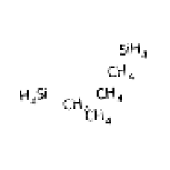 C.C.C.C.[SiH4].[SiH4]